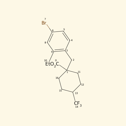 CCOC(=O)C1(Cc2ccc(Br)cc2C)CCC(C(F)(F)F)CC1